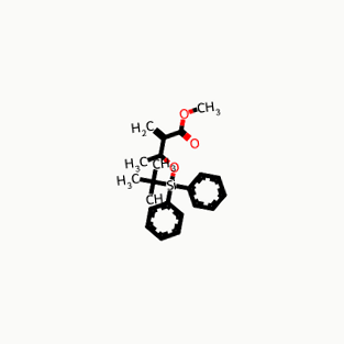 C=C(C(=O)OC)C(C)O[Si](c1ccccc1)(c1ccccc1)C(C)(C)C